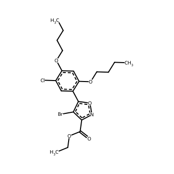 CCCCOc1cc(OCCCC)c(-c2onc(C(=O)OCC)c2Br)cc1Cl